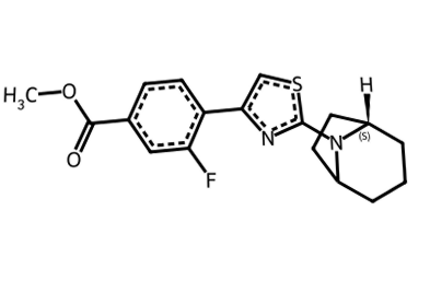 COC(=O)c1ccc(-c2csc(N3C4CCC[C@H]3CC4)n2)c(F)c1